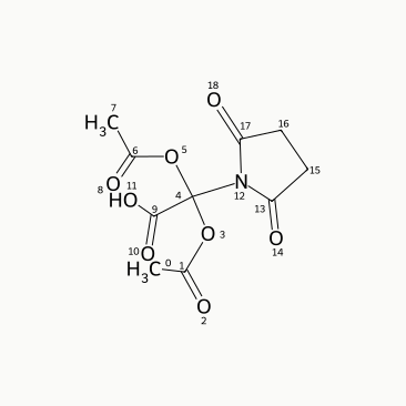 CC(=O)OC(OC(C)=O)(C(=O)O)N1C(=O)CCC1=O